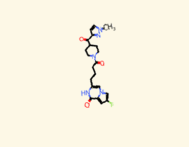 Cn1ccc(C(=O)C2CCN(C(=O)CCCc3cn4cc(F)cc4c(=O)[nH]3)CC2)n1